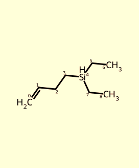 C=CCC[SiH](CC)CC